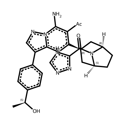 CC(=O)c1c([C@H]2C[C@H]3CC[C@@H](C2)N3C(=O)c2nnc[nH]2)nc2c(-c3ccc([C@H](C)O)cc3)cnn2c1N